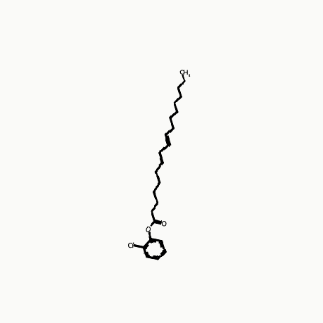 CCCCCCCCC=CCCCCCCCC(=O)Oc1ccccc1Cl